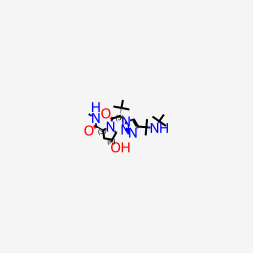 CNC(=O)[C@@H]1C[C@@H](O)CN1C(=O)[C@@H](n1cc(C(C)(C)NC(C)(C)C)nn1)C(C)(C)C